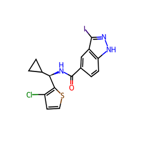 O=C(N[C@@H](c1sccc1Cl)C1CC1)c1ccc2[nH]nc(I)c2c1